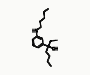 [CH2]CC(O)(CCCC)c1cccc(NCCCCC)c1